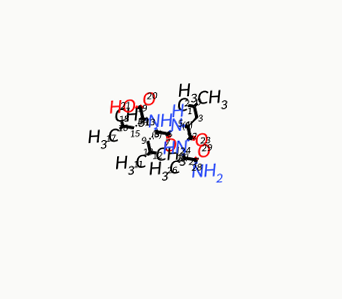 CC(C)C[C@H](NC(=O)[C@H](CC(C)C)N[C@H](CC(C)C)C(=O)O)C(=O)N[C@@H](C)C(N)=O